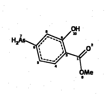 COC(=O)c1ccc([AsH2])cc1O